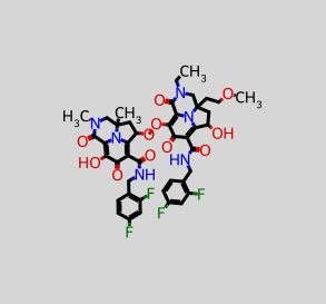 CCN1CC2(CCOC)CC(O)c3c(C(=O)NCc4ccc(F)cc4F)c(=O)c(OOC4CC5(C)CN(C)C(=O)c6c(O)c(=O)c(C(=O)NCc7ccc(F)cc7F)c4n65)c(n32)C1=O